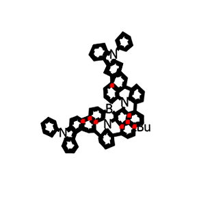 CC(C)(C)c1cc2c3c(c1)N(c1c(-c4ccccc4)cccc1-c1ccccc1)c1cc(-c4ccc5c(c4)c4ccccc4n5-c4ccccc4)ccc1B3c1ccc(-c3ccc4c(c3)c3ccccc3n4-c3ccccc3)cc1N2c1c(-c2ccccc2)cccc1-c1ccccc1